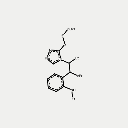 CCCCCCCCSSc1nncn1C(CC)C(CCC)c1ccccc1NCC